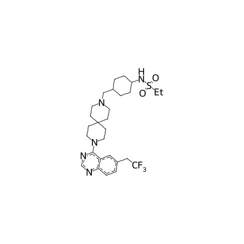 CCS(=O)(=O)NC1CCC(CN2CCC3(CC2)CCN(c2ncnc4ccc(CC(F)(F)F)cc24)CC3)CC1